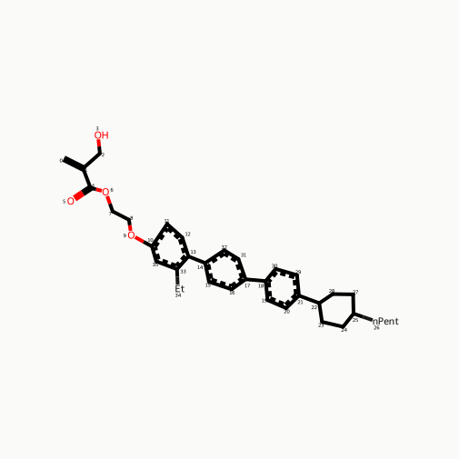 C=C(CO)C(=O)OCCOc1ccc(-c2ccc(-c3ccc(C4CCC(CCCCC)CC4)cc3)cc2)c(CC)c1